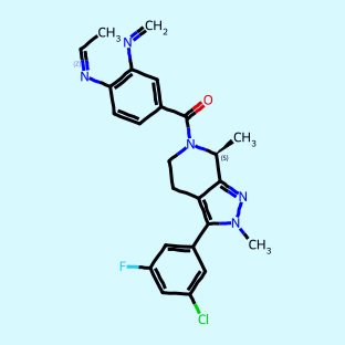 C=Nc1cc(C(=O)N2CCc3c(nn(C)c3-c3cc(F)cc(Cl)c3)[C@@H]2C)ccc1/N=C\C